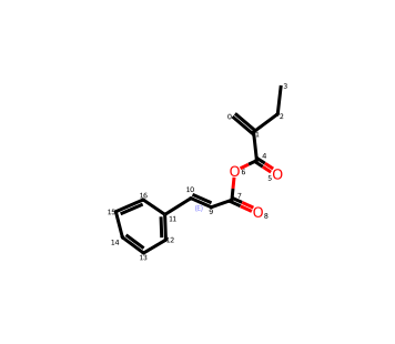 C=C(CC)C(=O)OC(=O)/C=C/c1ccccc1